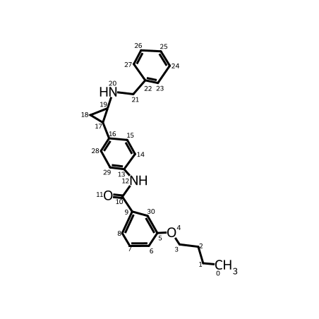 CCCCOc1cccc(C(=O)Nc2ccc(C3CC3NCc3ccccc3)cc2)c1